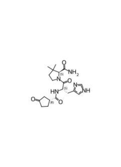 CC1(C)CCN(C(=O)[C@H](Cc2c[nH]cn2)NC(=O)[C@@H]2CCC(=O)C2)[C@@H]1C(N)=O